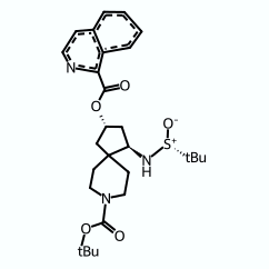 CC(C)(C)OC(=O)N1CCC2(CC1)C[C@H](OC(=O)c1nccc3ccccc13)C[C@H]2N[S@+]([O-])C(C)(C)C